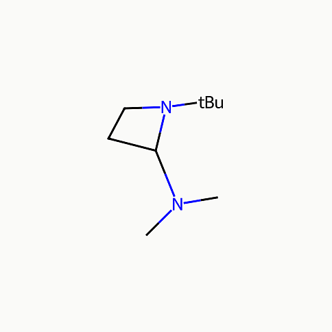 CN(C)C1CCN1C(C)(C)C